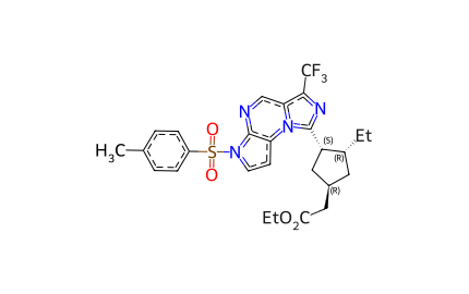 CCOC(=O)C[C@@H]1C[C@@H](CC)[C@@H](c2nc(C(F)(F)F)c3cnc4c(ccn4S(=O)(=O)c4ccc(C)cc4)n23)C1